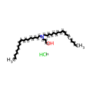 CCCCCCCC/C=C\CCCCCCCCN(CCCO)CCCCCCCC/C=C\CCCCCCCC.Cl